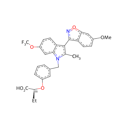 CC[C@H](Oc1cccc(Cn2c(C)c(-c3noc4cc(OC)ccc34)c3ccc(OC(F)(F)F)cc32)c1)C(=O)O